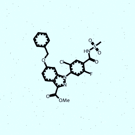 COC(=O)c1nn(-c2cc(F)c(C(=O)NS(C)(=O)=O)cc2Cl)c2cc(OCc3ccccc3)ccc12